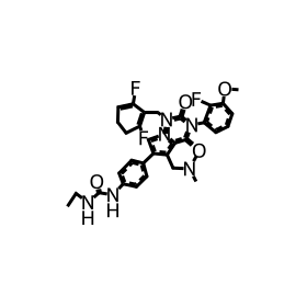 CCNC(=O)Nc1ccc(-c2cn3c(c2CN(C)C)c(=O)n(-c2cccc(OC)c2F)c(=O)n3CC2=C(F)CCC=C2F)cc1